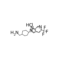 Cl.NCC1CCC(n2cc3cc(C(F)(F)F)ncc3n2)CC1